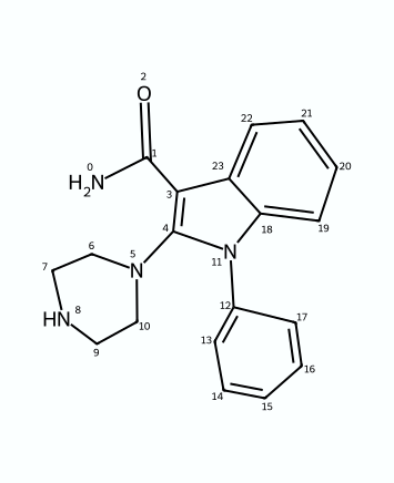 NC(=O)c1c(N2CCNCC2)n(-c2ccccc2)c2ccccc12